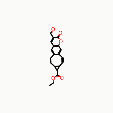 CCOC(=O)C1C2C#Cc3cc4oc(=O)c(C=O)cc4cc3CCC21